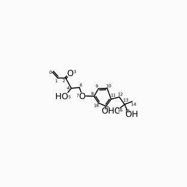 C=CC(=O)C(O)COc1ccc(CC(C)(O)C=O)cc1